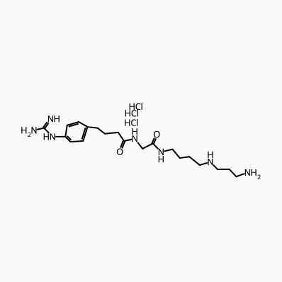 Cl.Cl.Cl.N=C(N)Nc1ccc(CCCC(=O)NCC(=O)NCCCCNCCCN)cc1